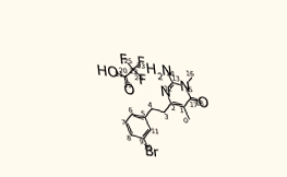 Cc1c(CCc2cccc(Br)c2)nc(N)n(C)c1=O.O=C(O)C(F)(F)F